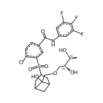 C[C@H](O)[C@@H](O)COCC1(O)C2CC1CC(S(=O)(=O)c1cc(C(=O)Nc3cc(F)c(F)c(F)c3)ccc1Cl)C2